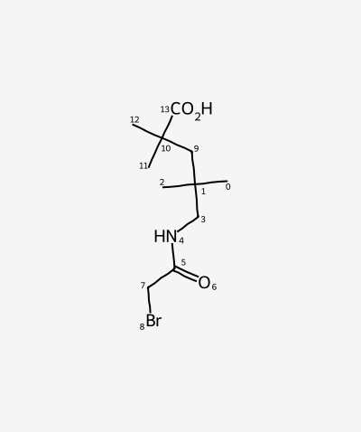 CC(C)(CNC(=O)CBr)CC(C)(C)C(=O)O